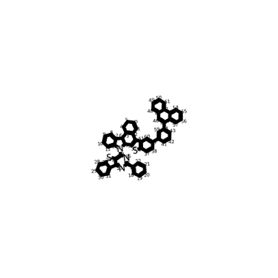 C1=CC2=C(CC1)C1c3ccccc3N(c3nc(-c4ccccc4)nc4c3sc3ccccc34)C1c1sc3ccc(-c4cccc(-c5cc6ccccc6c6ccccc56)c4)cc3c12